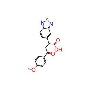 COc1ccc(C(=O)CC(C(=O)O)c2ccc3nsnc3c2)cc1